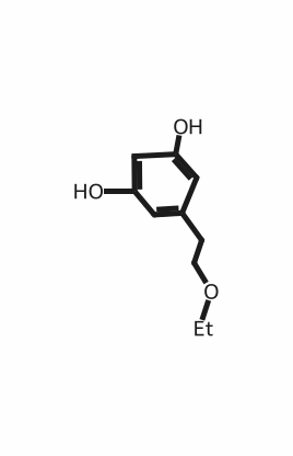 CCOCCc1cc(O)cc(O)c1